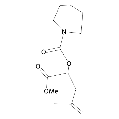 C=C(C)CC(OC(=O)N1CCCCC1)C(=O)OC